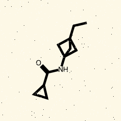 CCC12CC(NC(=O)C3CC3)(C1)C2